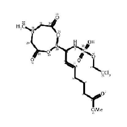 COC(=O)CCC/C=C/C(NS(=O)(=O)OCC(Cl)(Cl)Cl)B1OC(=O)CN(C)CC(=O)O1